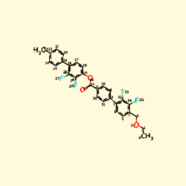 CCOCc1ccc(-c2ccc(C(=O)Oc3ccc(-c4ccc(C)cc4)c(F)c3F)cc2)c(F)c1F